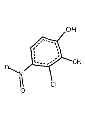 O=[N+]([O-])c1ccc(O)c(O)c1Cl